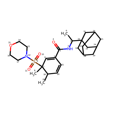 CC(NC(=O)C1=CC(C)(S(=O)(=O)N2CCOCC2)C(C)C=C1)C12CC3CC(CC(C3)C1)C2